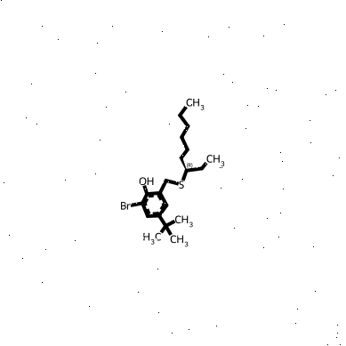 CCCCCC[C@@H](CC)SCc1cc(C(C)(C)C)cc(Br)c1O